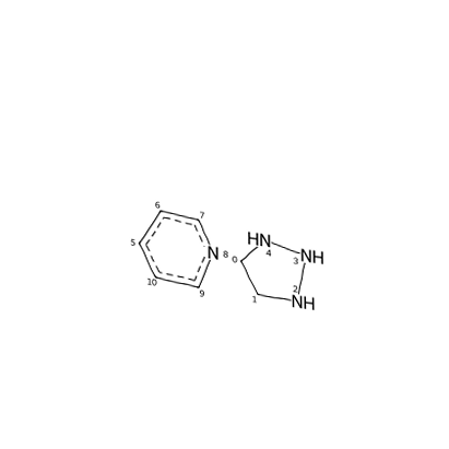 C1CNNN1.c1ccncc1